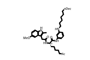 CCCCCCCCCCCCCCCCNc1cccc(NC(=O)[C@H](CCCCCC(C)=O)NC(=O)Cc2c(C)[nH]c3ccc(OC)cc23)c1